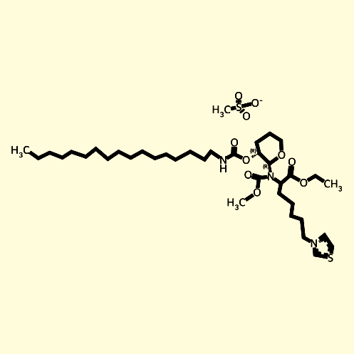 CCCCCCCCCCCCCCCCCNC(=O)O[C@@H]1CCCO[C@H]1N(C(=O)OC)C(CCCCC[n+]1ccsc1)C(=O)OCC.CS(=O)(=O)[O-]